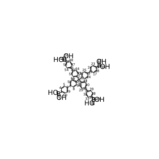 OB(O)c1ccc(-c2ccc(C(c3ccc(-c4ccc(B(O)O)cc4)cc3)(c3ccc(-c4ccc(B(O)O)cc4)cc3)c3ccc(-c4ccc(B(O)O)cc4)cc3)cc2)cc1